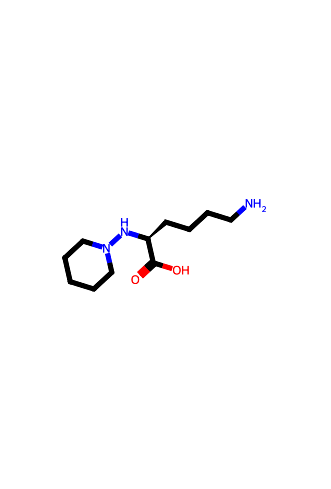 NCCCC[C@H](NN1CCCCC1)C(=O)O